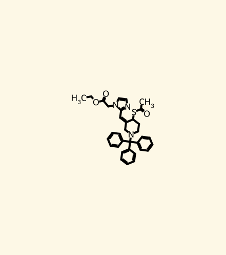 CCOC(=O)Cn1ccnc1/C=C1/CN(C(c2ccccc2)(c2ccccc2)c2ccccc2)CCC1SC(C)=O